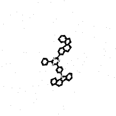 c1ccc(-c2nc(-c3ccc(-n4c5ccccc5c5ccc6ccccc6c54)cc3)nc(-c3ccc4c(ccc5ccc6ccccc6c54)c3)n2)cc1